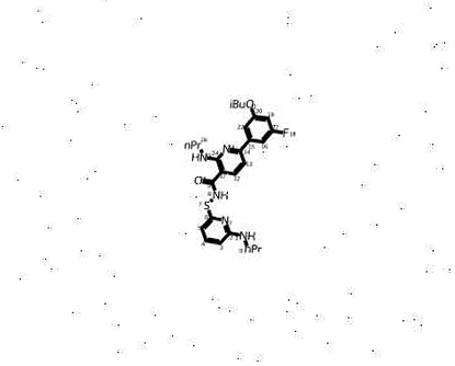 CCCNc1cccc(SNC(=O)c2ccc(-c3cc(F)cc(OCC(C)C)c3)nc2NCCC)n1